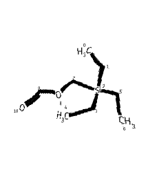 CC[Si](CC)(CC)CO[C]=O